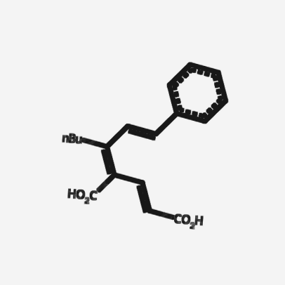 CCCCC(C=Cc1ccccc1)=C(C=CC(=O)O)C(=O)O